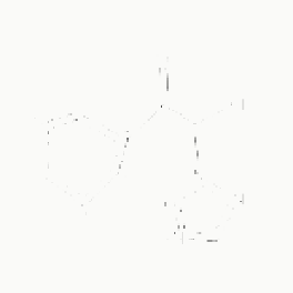 CC(C(=O)c1ccccc1)n1ncnn1